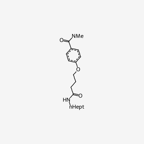 CCCCCCCNC(=O)CCCOc1ccc(C(=O)NC)cc1